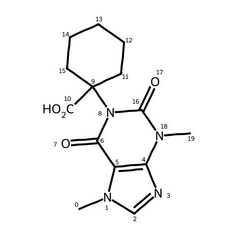 Cn1cnc2c1c(=O)n(C1(C(=O)O)CCCCC1)c(=O)n2C